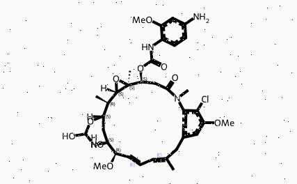 COc1cc(N)ccc1NC(=O)O[C@H]1CC(=O)N(C)c2cc(cc(OC)c2Cl)C/C(C)=C/C=C/[C@@H](OC)[C@@]2(O)C[C@H](OC(O)N2)[C@@H](C)[C@@H]2O[C@@]12C